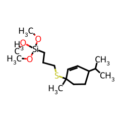 CO[Si](CCCSC1(C)C=CC(C(C)C)CC1)(OC)OC